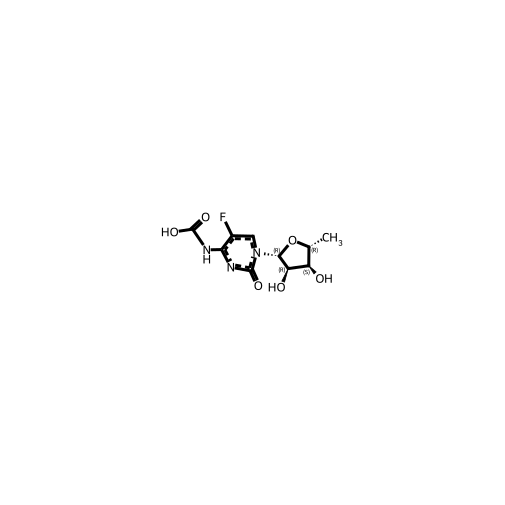 C[C@H]1O[C@@H](n2cc(F)c(NC(=O)O)nc2=O)[C@H](O)[C@@H]1O